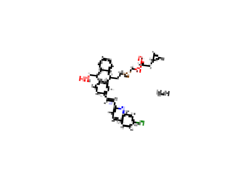 CC(CO)c1ccccc1C(CCSCOC(=O)CC1CC1)c1cccc(/C=C/c2ccc3ccc(Cl)cc3n2)c1.[NaH]